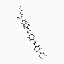 CCCCOC(=O)c1cc2sc(N=Nc3ccc(N=Nc4ccc(N(CC)CC)cc4)cc3)nc2o1